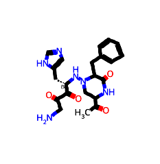 CC(=O)C1CN(N[C@@H](Cc2cnc[nH]2)C(=O)C(=O)CN)C(Cc2ccccc2)C(=O)N1